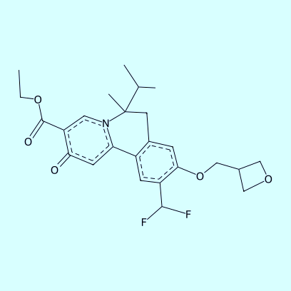 CCOC(=O)c1cn2c(cc1=O)-c1cc(C(F)F)c(OCC3COC3)cc1CC2(C)C(C)C